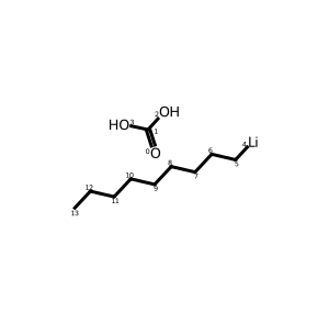 O=C(O)O.[Li][CH2]CCCCCCCC